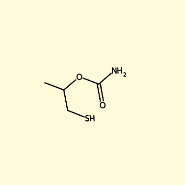 CC(CS)OC(N)=O